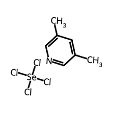 Cc1cncc(C)c1.Cl[Se](Cl)(Cl)Cl